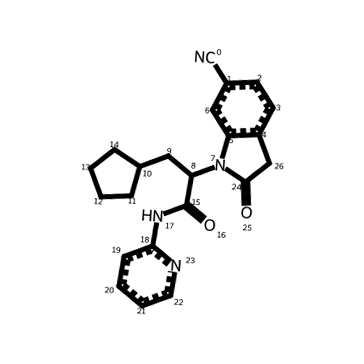 N#Cc1ccc2c(c1)N(C(CC1CCCC1)C(=O)Nc1ccccn1)C(=O)C2